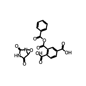 O=C(O)c1ccc(C(=O)O)c(C(=O)OC(=O)c2ccccc2)c1.O=C1NC(=O)N2OC12